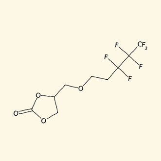 O=C1OCC(COCCC(F)(F)C(F)(F)C(F)(F)F)O1